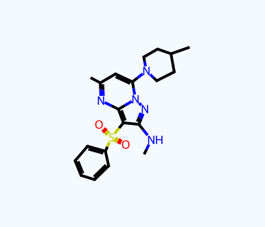 CNc1nn2c(N3CCC(C)CC3)cc(C)nc2c1S(=O)(=O)c1ccccc1